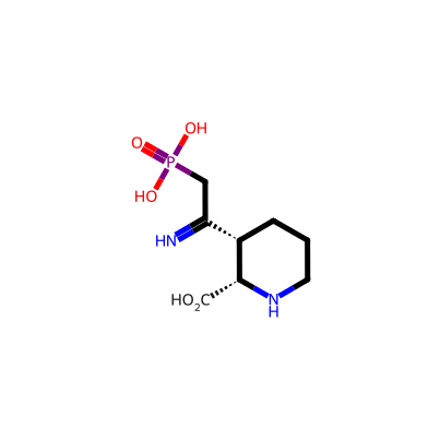 N=C(CP(=O)(O)O)[C@@H]1CCCN[C@@H]1C(=O)O